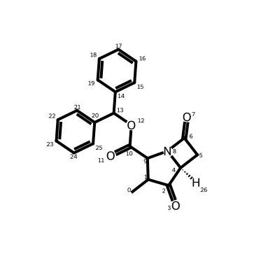 CC1C(=O)[C@@H]2CC(=O)N2C1C(=O)OC(c1ccccc1)c1ccccc1